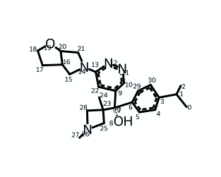 CC(C)c1ccc([C@](O)(c2cnnc(N3CC4CCOC4C3)c2)C2(C)CN(C)C2)cc1